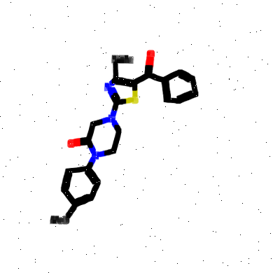 COc1ccc(N2CCN(c3nc(NC(C)=O)c(C(=O)c4ccccc4)s3)CC2=O)cc1